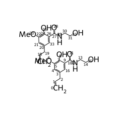 C=CCc1cc(OC)c(O)c(C(=O)NCCO)c1.C=CCc1cc(OC)c(O)c(C(=O)NCCO)c1